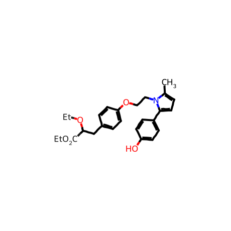 CCOC(=O)C(Cc1ccc(OCCn2c(C)ccc2-c2ccc(O)cc2)cc1)OCC